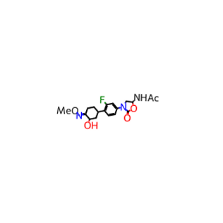 CON=C1CCC(c2ccc(N3CC(NC(C)=O)OC3=O)cc2F)CC1O